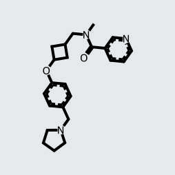 CN(CC1CC(Oc2ccc(CN3CCCC3)cc2)C1)C(=O)c1cccnc1